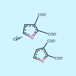 O=C([O-])c1ccoc1C(=O)[O-].O=C([O-])c1ccoc1C(=O)[O-].[Ca+2].[Ca+2]